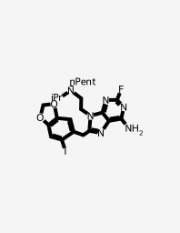 CCCCCN(CCn1c(Cc2cc3c(cc2I)OCO3)nc2c(N)nc(F)nc21)C(C)C